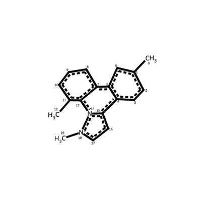 Cc1ccc2c(c1)c1cccc(C)c1n1c2cc[n+]1C